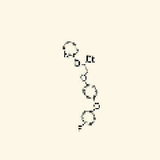 CCC(COc1ccc(Oc2ccc(F)cc2)cc1)Oc1ccccn1